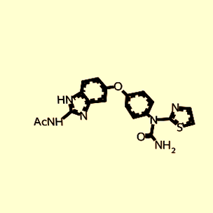 CC(=O)Nc1nc2cc(Oc3ccc(N(C(N)=O)c4nccs4)cc3)ccc2[nH]1